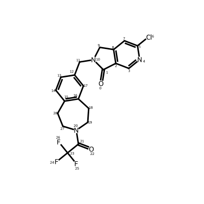 O=C1c2cnc(Cl)cc2CN1Cc1ccc2c(c1)CCN(C(=O)C(F)(F)F)CC2